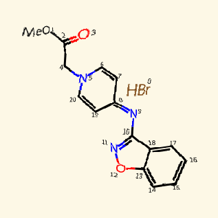 Br.COC(=O)Cn1ccc(=Nc2noc3ccccc23)cc1